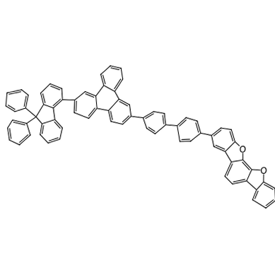 c1ccc(C2(c3ccccc3)c3ccccc3-c3c(-c4ccc5c6ccc(-c7ccc(-c8ccc(-c9ccc%10oc%11c(ccc%12c%13ccccc%13oc%12%11)c%10c9)cc8)cc7)cc6c6ccccc6c5c4)cccc32)cc1